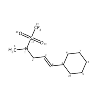 CN(CC=CC1CCCCC1)S(=O)(=O)C(F)(F)F